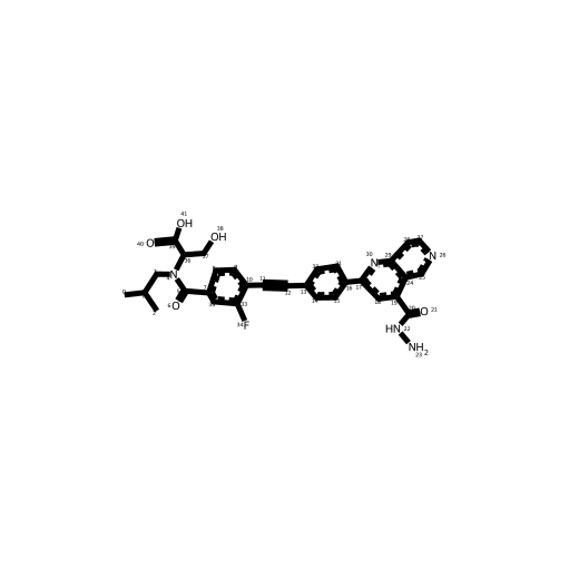 CC(C)CN(C(=O)c1ccc(C#Cc2ccc(-c3cc(C(=O)NN)c4cnccc4n3)cc2)c(F)c1)C(CO)C(=O)O